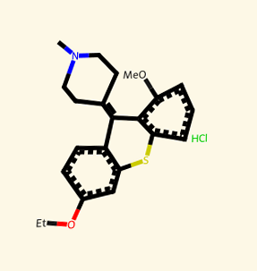 CCOc1ccc2c(c1)Sc1cccc(OC)c1C2=C1CCN(C)CC1.Cl